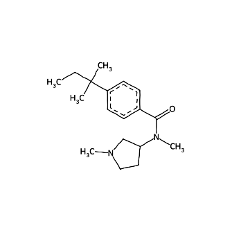 CCC(C)(C)c1ccc(C(=O)N(C)C2CCN(C)C2)cc1